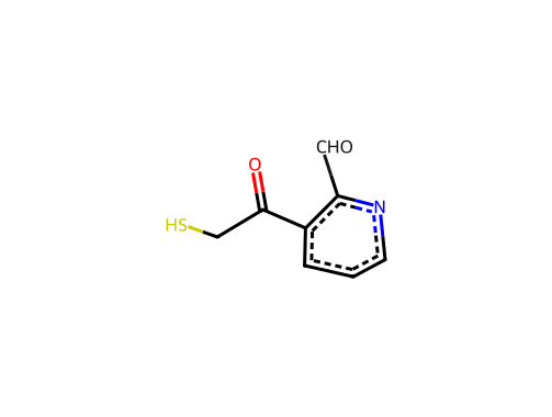 O=Cc1ncccc1C(=O)CS